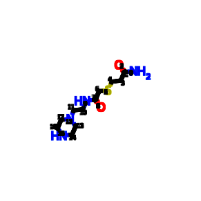 NC(=O)CCSCC(=O)NCCN1CCNCC1